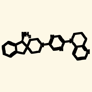 N[C@@H]1c2ccccc2CC12CCN(c1cnc(N3CCCc4ncccc43)cn1)CC2